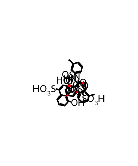 Cc1ccc2c(NC(=O)Nc3c4ccc(C)c3S(=O)(=O)N4c3ccc(S(=O)(=O)O)c4cccc(O)c34)c1S(=O)(=O)N2c1ccc(S(=O)(=O)O)c2cccc(O)c12